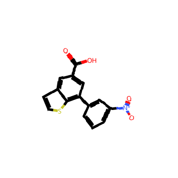 O=C(O)c1cc(-c2cccc([N+](=O)[O-])c2)c2sccc2c1